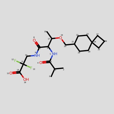 CC(C)C(=O)NC(C(=O)NCC(F)(F)C(=O)O)C(C)OCC1CCC2(CCC2)CC1